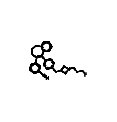 N#Cc1cccc(C2=C(c3ccc(CC4CN(CCCF)C4)cc3)c3ccccc3CCC2)c1